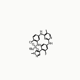 Cc1cnc(Nc2ccc(-c3cnn(C)c3)c(F)c2)nc1Nc1ccc(Cl)c(NS(=O)(=O)C(C)(C)C)c1